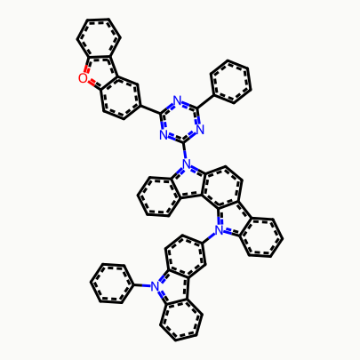 c1ccc(-c2nc(-c3ccc4oc5ccccc5c4c3)nc(-n3c4ccccc4c4c3ccc3c5ccccc5n(-c5ccc6c(c5)c5ccccc5n6-c5ccccc5)c34)n2)cc1